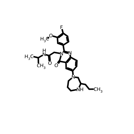 CCCC1CN(c2ccc3nc(-c4ccc(F)c(OC)c4)n(CC(=O)NC(C)C)c(=O)c3c2)CCCN1